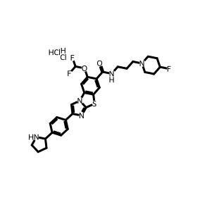 Cl.Cl.O=C(NCCCN1CCC(F)CC1)c1cc2sc3nc(-c4ccc(C5CCCN5)cc4)cn3c2cc1OC(F)F